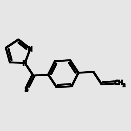 C=CCc1ccc(C(=S)n2cccn2)cc1